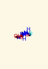 O=C(Cn1cc(Nc2ncnc3cc(OCCN4CCC(CO)CC4)ccc23)cn1)Nc1cccc(F)c1F